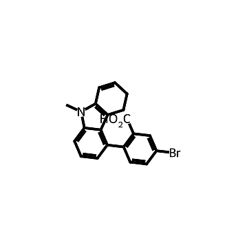 Cn1c2c(c3c(-c4ccc(Br)cc4C(=O)O)cccc31)CCC=C2